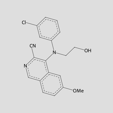 COc1ccc2cnc(C#N)c(N(CCO)c3cccc(Cl)c3)c2c1